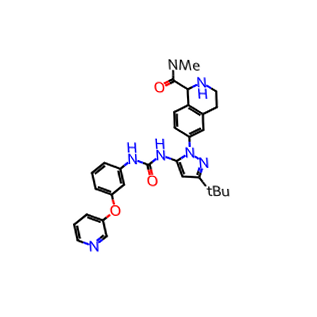 CNC(=O)C1NCCc2cc(-n3nc(C(C)(C)C)cc3NC(=O)Nc3cccc(Oc4cccnc4)c3)ccc21